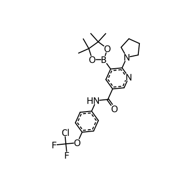 CC1(C)OB(c2cc(C(=O)Nc3ccc(OC(F)(F)Cl)cc3)cnc2N2CCCC2)OC1(C)C